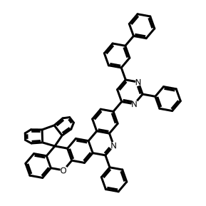 c1ccc(-c2cccc(-c3cc(-c4ccc5c(c4)nc(-c4ccccc4)c4cc6c(cc45)C4(c5ccccc5O6)c5ccccc5-c5ccccc54)nc(-c4ccccc4)n3)c2)cc1